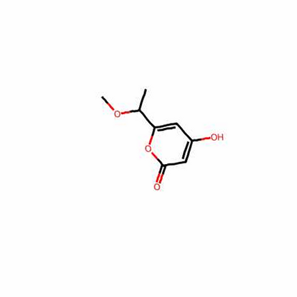 COC(C)c1cc(O)cc(=O)o1